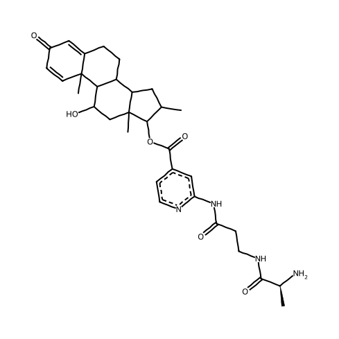 CC1CC2C3CCC4=CC(=O)C=CC4(C)C3C(O)CC2(C)C1OC(=O)c1ccnc(NC(=O)CCNC(=O)[C@H](C)N)c1